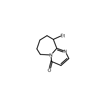 CCC1CCCCn2c1nccc2=O